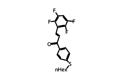 CCCCCCSc1ccc(C(=O)/C=C/c2c(F)c(F)cc(F)c2F)cc1